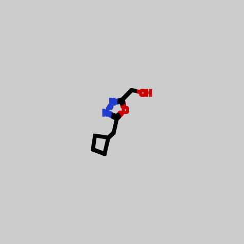 OCc1nnc(CC2CCC2)o1